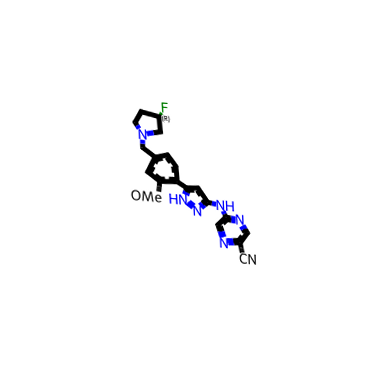 COc1cc(CN2CC[C@@H](F)C2)ccc1-c1cc(Nc2cnc(C#N)cn2)n[nH]1